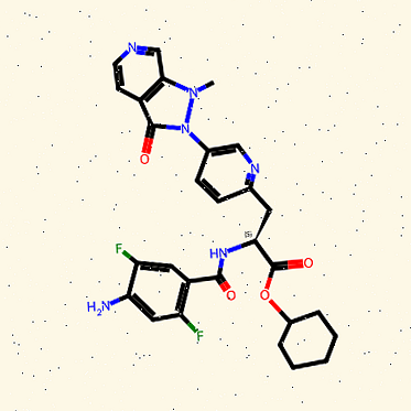 Cn1c2cnccc2c(=O)n1-c1ccc(C[C@H](NC(=O)c2cc(F)c(N)cc2F)C(=O)OC2CCCCC2)nc1